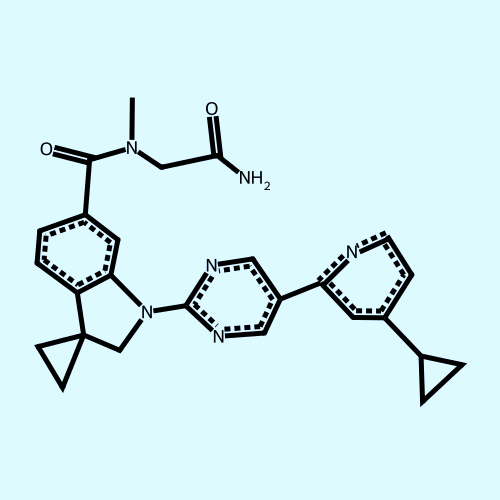 CN(CC(N)=O)C(=O)c1ccc2c(c1)N(c1ncc(-c3cc(C4CC4)ccn3)cn1)CC21CC1